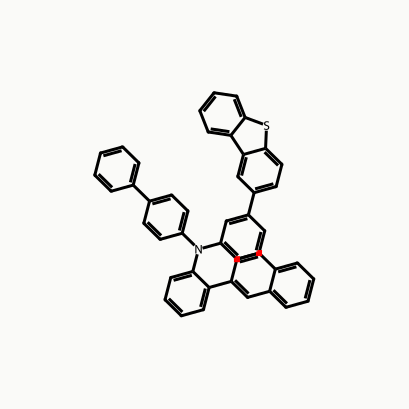 c1ccc(-c2ccc(N(c3cccc(-c4ccc5sc6ccccc6c5c4)c3)c3ccccc3-c3ccc4ccccc4c3)cc2)cc1